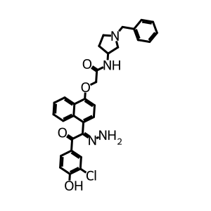 N/N=C(/C(=O)c1ccc(O)c(Cl)c1)c1ccc(OCC(=O)NC2CCN(Cc3ccccc3)C2)c2ccccc12